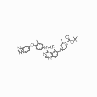 Cc1cc(Nc2ncnc3ccc(N4CCN(C(=O)OC(C)(C)C)[C@H](C)C4)c(F)c23)ccc1Oc1ccn2ncnc2c1